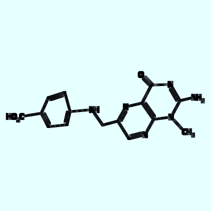 Cn1c(N)nc(=O)c2nc(CNc3ccc(C(=O)O)cc3)cnc21